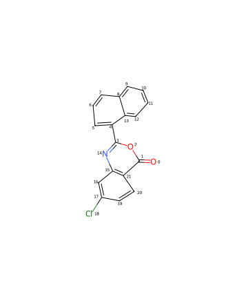 O=c1oc(-c2cccc3ccccc23)nc2cc(Cl)ccc12